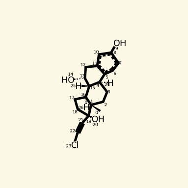 C[C@]12CC[C@@H]3c4ccc(O)cc4C[C@@H](O)[C@H]3[C@@H]1CC[C@@]2(O)C#CCl